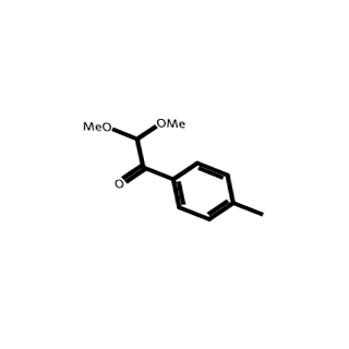 COC(OC)C(=O)c1ccc(C)cc1